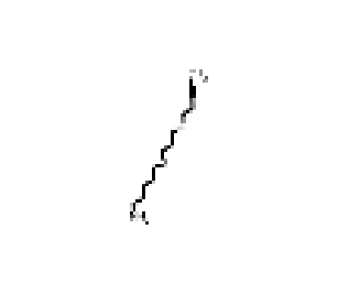 CC#CCCOCCCOCCCCCN